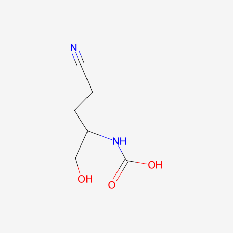 N#CCCC(CO)NC(=O)O